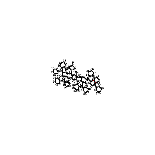 Fc1ccc(N2c3cc(N(c4ccccc4)c4ccccc4)cc4c3B(c3ccccc3N4c3ccccc3)c3cc4c(c(F)c32)Sc2cc(N(c3ccc(-c5ccccc5)cc3)c3ccccc3-c3ccccc3)cc3c2B4c2ccccc2N3c2ccccc2)c(F)c1